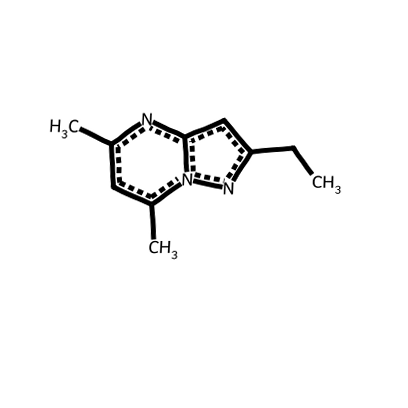 CCc1cc2nc(C)cc(C)n2n1